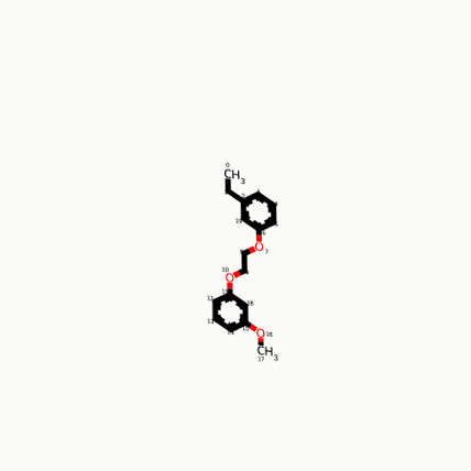 CCc1cccc(OCCOc2cccc(OC)c2)c1